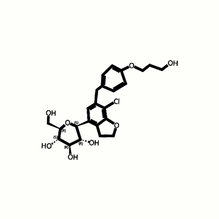 OCCCOc1ccc(Cc2cc([C@@H]3O[C@H](CO)[C@@H](O)[C@H](O)[C@H]3O)c3c(c2Cl)OCC3)cc1